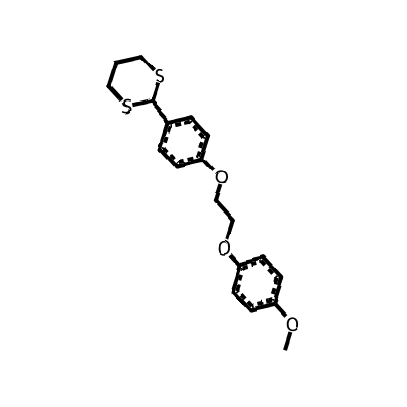 COc1ccc(OCCOc2ccc(C3SCCCS3)cc2)cc1